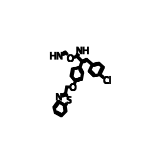 N=COC(=N)/C(=C/c1ccc(Cl)cc1)c1ccc(OCc2nc3ccccc3s2)cc1